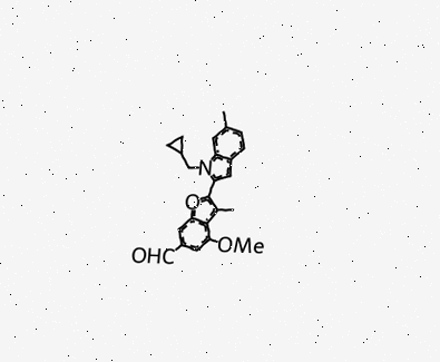 COc1cc(C=O)cc2oc(-c3cc4ccc(C)cc4n3CC3CC3)c(C)c12